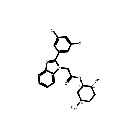 CC(C)[C@@H]1CC[C@@H](C)C[C@H]1OC(=O)Cn1c(-c2cc(Cl)cc(Cl)c2)nc2ccccc21